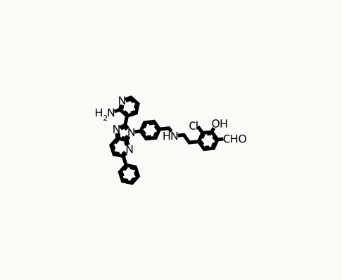 Nc1ncccc1-c1nc2ccc(-c3ccccc3)nc2n1-c1ccc(CNCCc2ccc(C=O)c(O)c2Cl)cc1